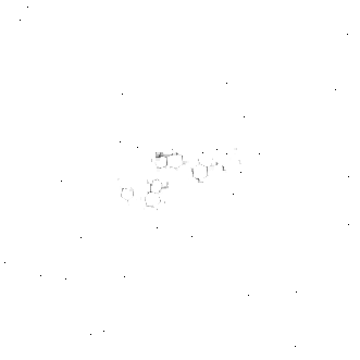 Cc1ccc(-c2cncc3[nH]c(-c4n[nH]c5ncc(-c6cncc(NC(=O)C7CC7)c6)cc45)nc23)s1